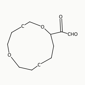 O=CC(=O)C1CCCCCOCCCCO1